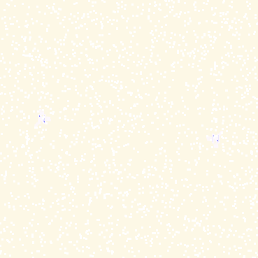 c1ccc(-n2c3c(c4ccccc42)-c2ccc(-c4ccc(-c5ccc6c7c(cccc57)-c5c-6c6ccccc6n5-c5ccccc5)cc4)c4cccc-3c24)cc1